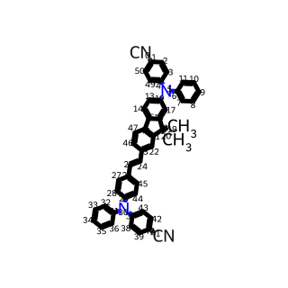 [C-]#[N+]c1ccc(N(c2ccccc2)c2ccc3c(c2)C(C)(C)c2cc(/C=C/c4ccc(N(c5ccccc5)c5ccc(C#N)cc5)cc4)ccc2-3)cc1